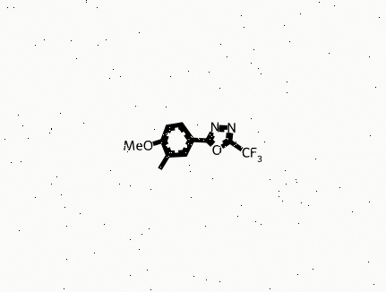 COc1ccc(-c2nnc(C(F)(F)F)o2)cc1C